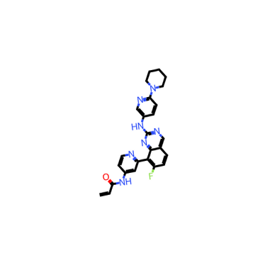 C=CC(=O)Nc1ccnc(-c2c(F)ccc3cnc(Nc4ccc(N5CCCCC5)nc4)nc23)c1